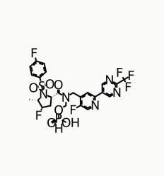 C[C@H]1[C@H](F)C[C@@H](C(=O)N(CO[PH](=O)O)Cc2cc(-c3cnc(C(F)(F)F)nc3)ncc2F)N1S(=O)(=O)c1ccc(F)cc1